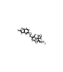 CC1=C(COc2ccc3oc(C)cc3c2)SCN1C1(C(N)=O)COC1